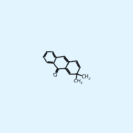 CC1(C)C=CC2=Cc3ccccc3C(=O)C2=C1